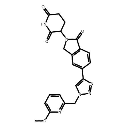 COc1cccc(Cn2cc(-c3ccc4c(c3)CN(C3CCC(=O)NC3=O)C4=O)nn2)n1